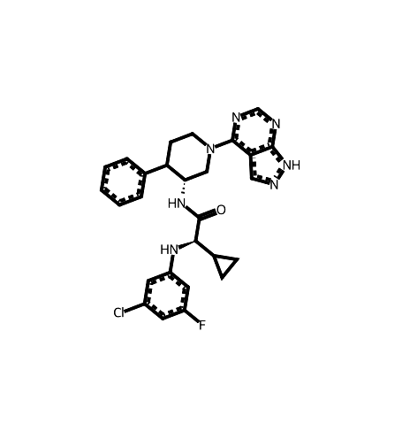 O=C(N[C@H]1CN(c2ncnc3[nH]ncc23)CCC1c1ccccc1)[C@H](Nc1cc(F)cc(Cl)c1)C1CC1